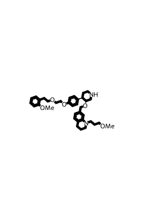 COCCCN1CCCc2ccc(CO[C@H]3CNCC[C@@H]3c3ccc(OCCOCCc4ccccc4OC)cc3)cc21